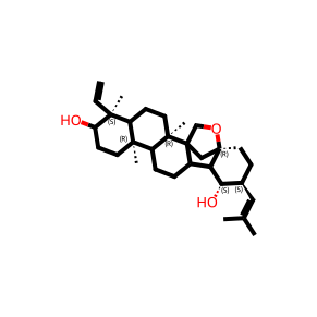 C=C[C@]1(C)C(O)CC[C@@]2(C)C1CC[C@]1(C)C2CCC2C3[C@@H](O)[C@H](C=C(C)C)CC[C@@]34CC21CO4